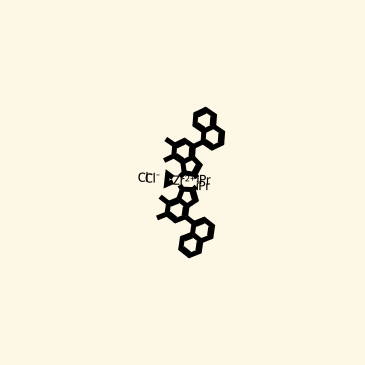 Cc1cc(-c2cccc3ccccc23)c2c(c1C)[CH]([Zr+2]1([CH]3C(C(C)C)=Cc4c(-c5cccc6ccccc56)cc(C)c(C)c43)[CH2][CH2]1)C(C(C)C)=C2.[Cl-].[Cl-]